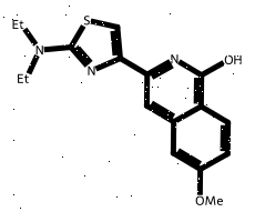 CCN(CC)c1nc(-c2cc3cc(OC)ccc3c(O)n2)cs1